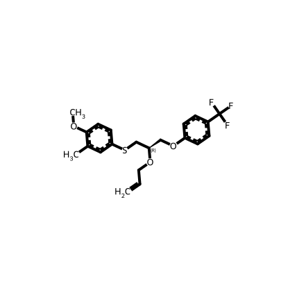 C=CCO[C@H](COc1ccc(C(F)(F)F)cc1)CSc1ccc(OC)c(C)c1